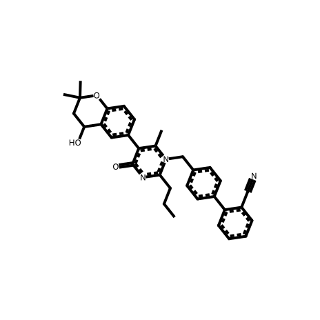 CCCc1nc(=O)c(-c2ccc3c(c2)C(O)CC(C)(C)O3)c(C)n1Cc1ccc(-c2ccccc2C#N)cc1